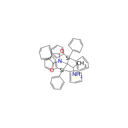 CC(N)C(N1C(=O)c2ccccc2C1=O)([Si](c1ccccc1)(c1ccccc1)c1ccccc1)[Si](c1ccccc1)(c1ccccc1)c1ccccc1